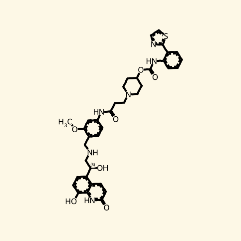 COc1cc(NC(=O)CCN2CCC(OC(=O)Nc3ccccc3-c3nccs3)CC2)ccc1CNC[C@@H](O)c1ccc(O)c2[nH]c(=O)ccc12